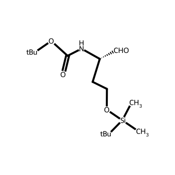 CC(C)(C)OC(=O)N[C@H](C=O)CCO[Si](C)(C)C(C)(C)C